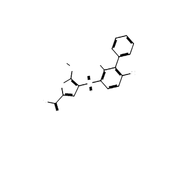 CSc1sc(C(N)=O)cc1S(=O)(=O)c1ccc(N)c(-c2ccccc2)c1C